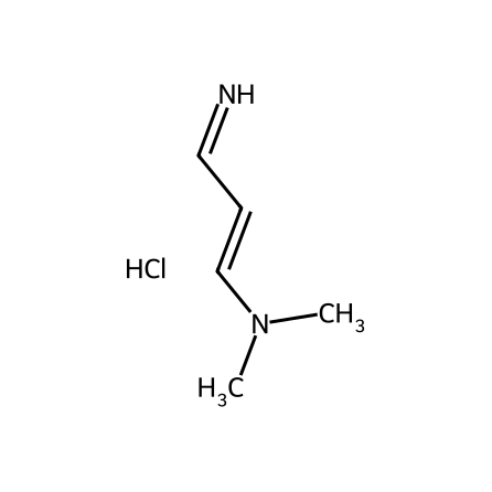 CN(C)C=CC=N.Cl